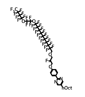 CCCCCCCCc1cnc(-c2ccc(OC[C@H](F)COCC(F)(F)C(F)(F)C(F)(F)C(F)(F)C(F)(F)C(F)(F)C(F)(F)C(F)(F)C(F)(F)OC(F)(F)C(F)(F)OC(F)(F)C(F)(F)C(F)(F)C(F)(F)F)cc2)nc1